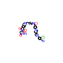 N#Cc1ccc(N2CCC3(CCN(c4ccc(C(=O)N5CC6(CC(CN7CCc8cc9c(cc8C7)C(=O)N(C7CCC(=O)NC7=O)C9=O)C6)C5)cc4)CC3)C2)cc1Cl